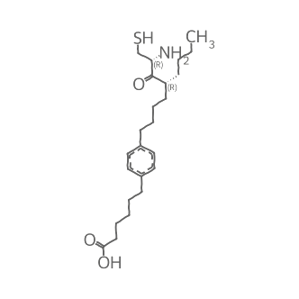 CCCC[C@H](CCCCc1ccc(CCCCCC(=O)O)cc1)C(=O)[C@@H](N)CS